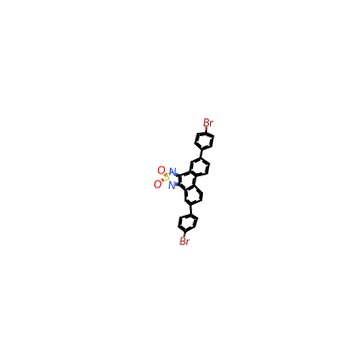 O=S1(=O)N=c2c(c3cc(-c4ccc(Br)cc4)ccc3c3ccc(-c4ccc(Br)cc4)cc23)=N1